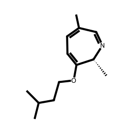 CC1=CC=C(OCCC(C)C)[C@@H](C)N=C1